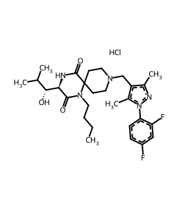 CCCCN1C(=O)[C@@H]([C@H](O)C(C)C)NC(=O)C12CCN(Cc1c(C)nn(-c3ccc(F)cc3F)c1C)CC2.Cl